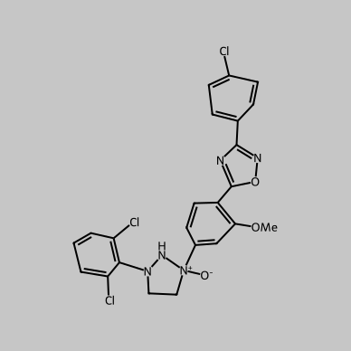 COc1cc([N+]2([O-])CCN(c3c(Cl)cccc3Cl)N2)ccc1-c1nc(-c2ccc(Cl)cc2)no1